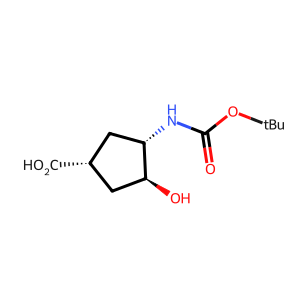 CC(C)(C)OC(=O)N[C@H]1C[C@@H](C(=O)O)C[C@@H]1O